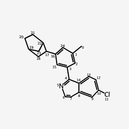 Cc1cc(-c2nccc3cc(Cl)ccc23)cc(C2CC3CCC2C3)c1